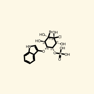 O=P(O)(O)O[C@@H]1[C@H](Oc2c[nH]c3ccccc23)[C@@H](O)[C@@](O)(Br)[C@](O)(Cl)[C@@H]1O